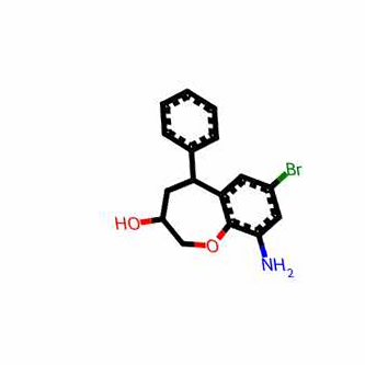 Nc1cc(Br)cc2c1OCC(O)CC2c1ccccc1